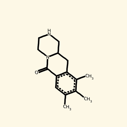 Cc1cc2c(c(C)c1C)CC1CNCCN1C2=O